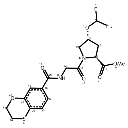 COC(=O)[C@@H]1C[C@@H](OC(F)F)CN1C(=O)CNC(=O)c1ccc2c(c1)OCCS2